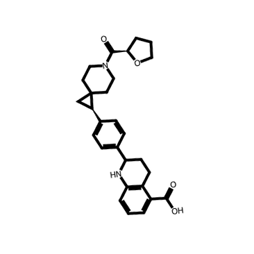 O=C(O)c1cccc2c1CCC(c1ccc([C@H]3CC34CCN(C(=O)[C@H]3CCCO3)CC4)cc1)N2